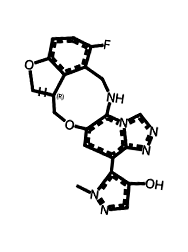 Cn1ncc(O)c1-c1cc2c(n3cnnc13)NCc1c(F)ccc3c1[C@H](CO3)CO2